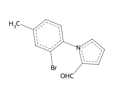 Cc1ccc(-n2cccc2C=O)c(Br)c1